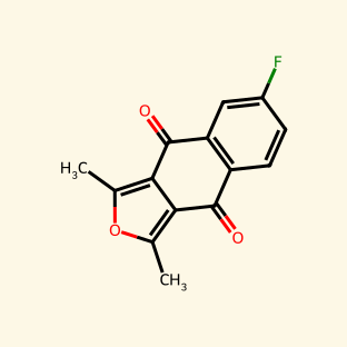 Cc1oc(C)c2c1C(=O)c1ccc(F)cc1C2=O